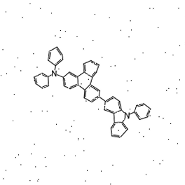 c1ccc(N(c2ccccc2)c2ccc3c4ccc(-c5ccc6c(c5)c5ccccc5n6-c5ccccc5)cc4c4ccccc4c3c2)cc1